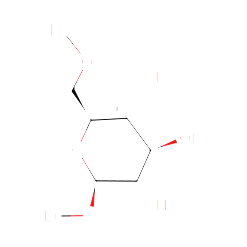 CCO[C@H]1O[C@@H](COC(C)C)[C@H](O)[C@@H](O)[C@@H]1O